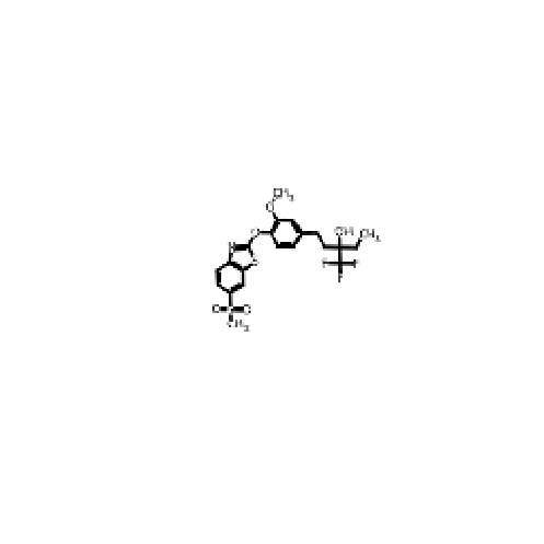 CCC(O)(CCc1ccc(Oc2nc3ccc(S(C)(=O)=O)cc3s2)c(OC)c1)C(F)(F)F